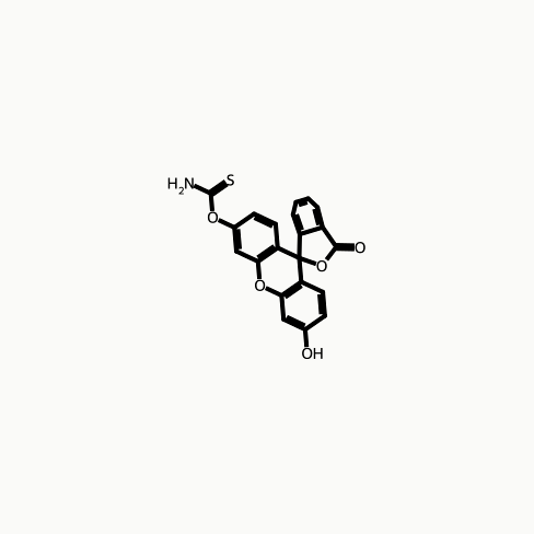 NC(=S)Oc1ccc2c(c1)Oc1cc(O)ccc1C21OC(=O)c2ccccc21